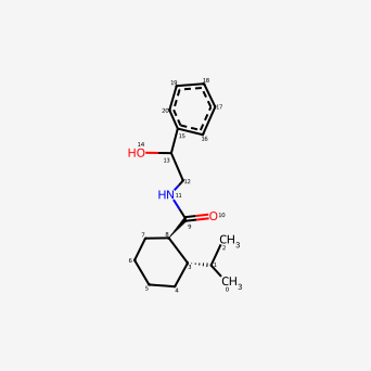 CC(C)[C@@H]1CCCC[C@H]1C(=O)NCC(O)c1ccccc1